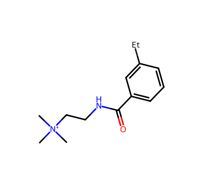 CCc1cccc(C(=O)NCC[N+](C)(C)C)c1